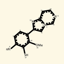 CCCc1ccc(-c2cn3cnccc3n2)c(OC)c1S